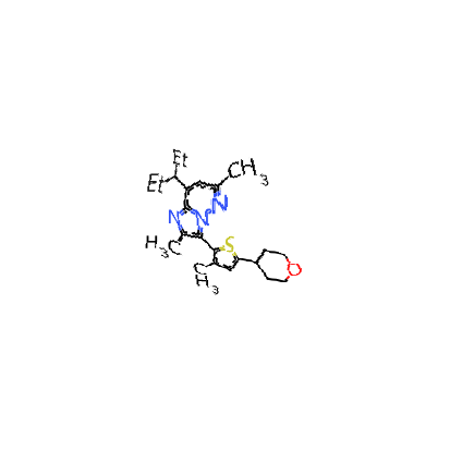 CCC(CC)c1cc(C)nn2c(-c3sc(C4CCOCC4)cc3C)c(C)nc12